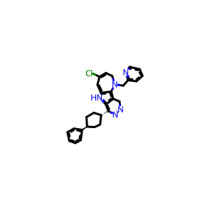 ClC1=CCN(Cc2ccccn2)c2c3c([nH]c2=C1)=C([C@H]1CC[C@H](c2ccccc2)CC1)N=NC3